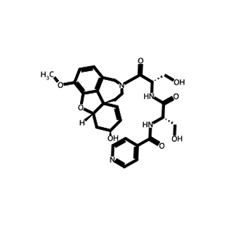 COc1ccc2c3c1O[C@H]1C[C@@H](O)C=C[C@@]31CCN(C(=O)[C@H](CO)NC(=O)[C@H](CO)NC(=O)c1ccncc1)C2